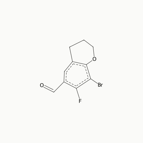 O=Cc1cc2c(c(Br)c1F)OCCC2